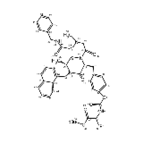 CC(C)C(NC(=O)Oc1ccc(C[C@H]2C(=O)N(Cc3cccc4cccnc34)[C@@H](C)C3N2C(=O)CN(C)N3C(=O)NCc2ccccc2)cc1)C(=O)OC(C)(C)C